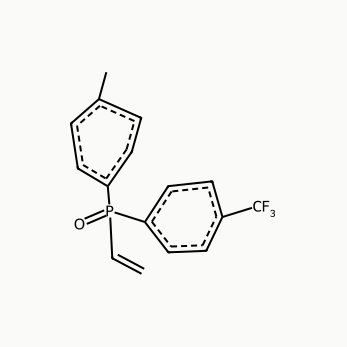 C=CP(=O)(c1ccc(C)cc1)c1ccc(C(F)(F)F)cc1